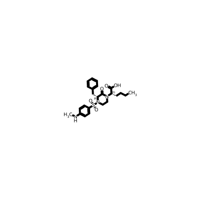 CCCC[C@@H](C(=O)O)N1CCN(S(=O)(=O)c2ccc(NC)cc2)[C@H](Cc2ccccc2)C1=O